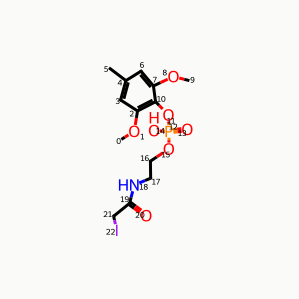 COc1cc(C)cc(OC)c1OP(=O)(O)OCCNC(=O)CI